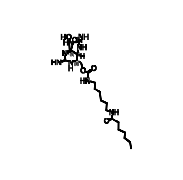 CCCCCCC(=O)NCCCCCCNC(=O)OC[C@@H]1NC(=N)N2CCC(O)(O)[C@@]23NC(=N)N[C@@H]13